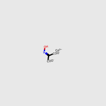 O=C([O-])C(=NO)C(=O)[O-].[Co+2]